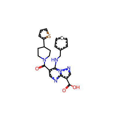 O=C(O)c1cnn2c(NCc3ccccc3)c(C(=O)N3CCC(c4cccs4)CC3)cnc12